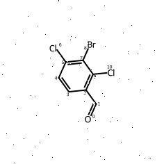 O=Cc1ccc(Cl)c(Br)c1Cl